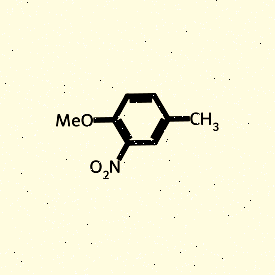 COc1ccc(C)cc1[N+](=O)[O-]